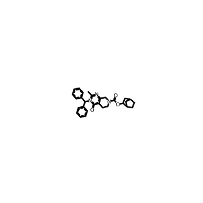 Cc1nc2c(c(=O)n1C(c1ccccc1)c1ccccc1)CCN(C(=O)OC1CC3CCC1C3)C2